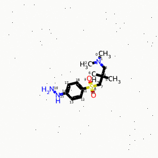 CN(C)CC(C)(C)CS(=O)(=O)c1ccc(NN)cc1